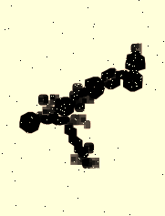 CN(CCCCCC(=O)NO)CCC(CSc1ccccc1)Nc1ccc(S(=O)(=O)NC(=O)c2ccc(N3CCN(Cc4ccccc4-c4ccc(Cl)cc4)CC3)cc2)cc1[N+](=O)[O-]